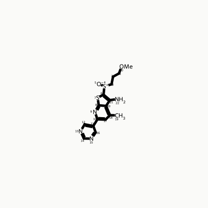 COCCC[S+]([O-])c1sc2nc(-c3cncnc3)cc(C)c2c1N